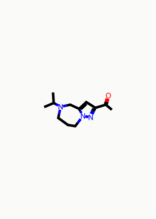 CC(=O)c1cc2n(n1)CCCN(C(C)C)C2